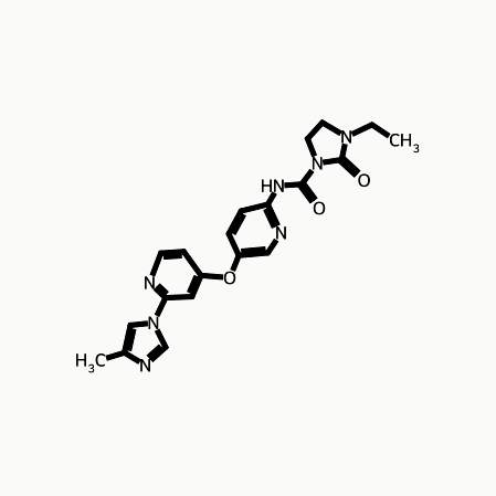 CCN1CCN(C(=O)Nc2ccc(Oc3ccnc(-n4cnc(C)c4)c3)cn2)C1=O